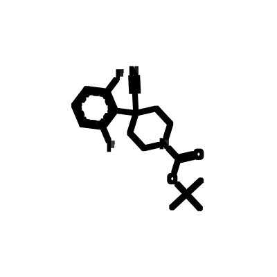 CC(C)(C)OC(=O)N1CCC(C#N)(c2c(F)cccc2F)CC1